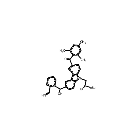 CCCCC(CC)Cn1c2ccc(C(=O)c3c(C)cc(C)cc3C)cc2c2cc(C(O)c3ccccc3C=N)ccc21